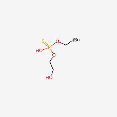 CC(C)(C)COP(O)(=S)OCCO